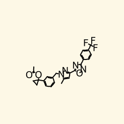 CC(=O)OC1(c2cccc(Cn3nc(-c4nc(-c5ccc(C(F)(F)F)cc5)no4)cc3C)c2)CC1